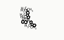 Cc1cccc2ccc(N(c3ccc4c(c3)C(C)(C)c3ccccc3-4)c3ccc4c(c3)C(C)(C)c3cc(C(C)(C)C)ccc3-4)cc12